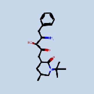 CC1CC(CC(=O)C(O)C(N)Cc2ccccc2)C(=O)N(C(C)(C)C)C1